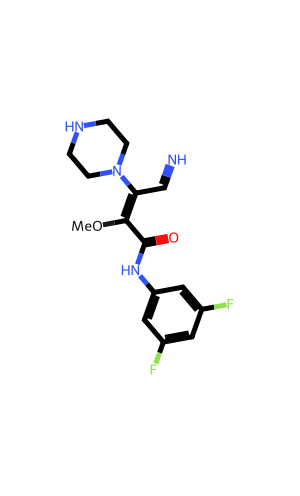 CO/C(C(=O)Nc1cc(F)cc(F)c1)=C(/C=N)N1CCNCC1